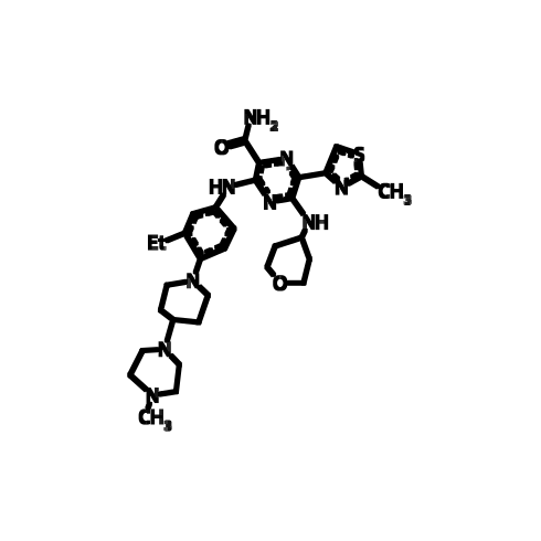 CCc1cc(Nc2nc(NC3CCOCC3)c(-c3csc(C)n3)nc2C(N)=O)ccc1N1CCC(N2CCN(C)CC2)CC1